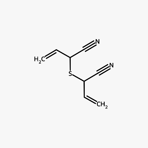 C=CC(C#N)SC(C#N)C=C